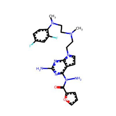 CN(CCN(C)c1ccc(F)cc1F)CCn1ccc2c(N(N)C(=O)c3ccco3)nc(N)nc21